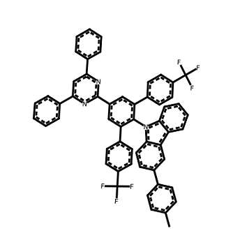 Cc1ccc(-c2ccc3c(c2)c2ccccc2n3-c2c(-c3ccc(C(F)(F)F)cc3)cc(-c3nc(-c4ccccc4)cc(-c4ccccc4)n3)cc2-c2ccc(C(F)(F)F)cc2)cc1